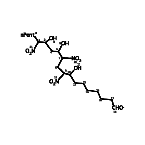 CCCCCC(C(O)CC(O)C(CC(C(O)CCCCCC[C]=O)[N+](=O)[O-])[N+](=O)[O-])[N+](=O)[O-]